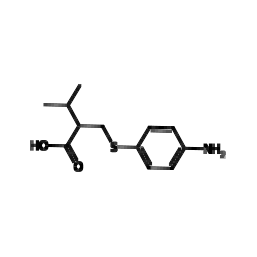 CC(C)C(CSc1ccc(N)cc1)C(=O)O